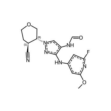 COc1cc(Nc2nn([C@H]3COCC[C@@H]3C#N)cc2NC=O)cc(F)n1